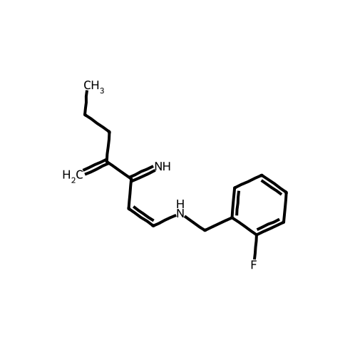 C=C(CCC)C(=N)/C=C\NCc1ccccc1F